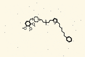 COc1ccc(CN2CCN(CCC(C)(C)CCc3ccc(CCCCCCc4ccccc4)s3)CC2)c(OC)c1OC